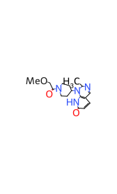 COCC(=O)N1CCC(N2c3[nH]c(=O)ccc3C=NC2C)CC1